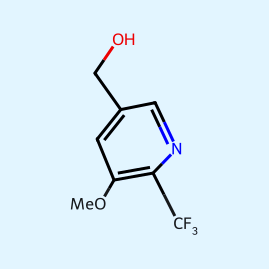 COc1cc(CO)cnc1C(F)(F)F